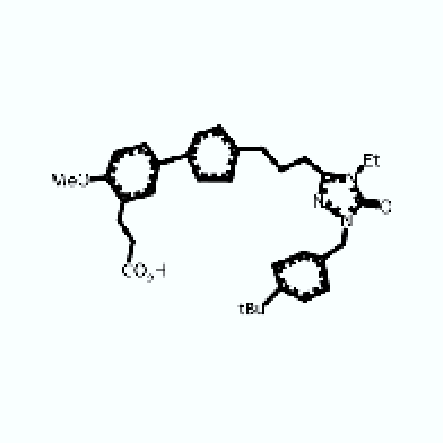 CCn1c(CCCc2ccc(-c3ccc(OC)c(CCC(=O)O)c3)cc2)nn(Cc2ccc(C(C)(C)C)cc2)c1=O